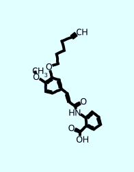 C#CCCCCOc1cc(C=CC(=O)Nc2ccccc2C(=O)O)ccc1OC